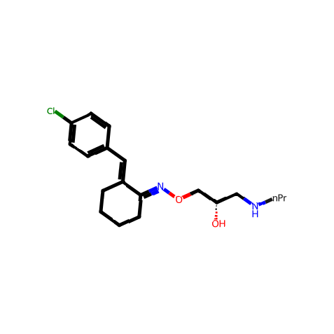 CCCNC[C@H](O)CO/N=C1\CCCC\C1=C/c1ccc(Cl)cc1